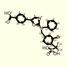 O=C(O)c1ccc(-c2cnc(N(Cc3ccc(C(F)(F)P(=O)(O)O)c(Br)c3)c3ccccc3)o2)cc1